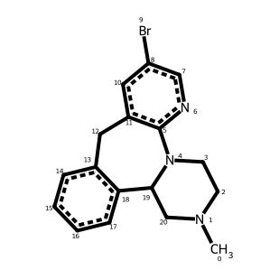 CN1CCN2c3ncc(Br)cc3Cc3ccccc3C2C1